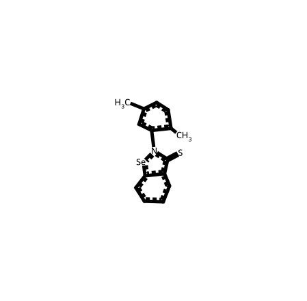 Cc1ccc(C)c(-n2[se]c3ccccc3c2=S)c1